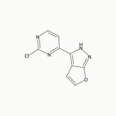 Clc1nccc(-c2[nH]nc3occc23)n1